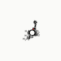 C/C(=C\c1csc(C)n1)[C@@H]1C[C@@H]2O[C@]2(C)CCC[C@H](C)[C@H](OC(=O)OCCSSc2ccccn2)[C@@H](C)C(=O)C(C)(C)[C@@H](O)CC(=O)N1